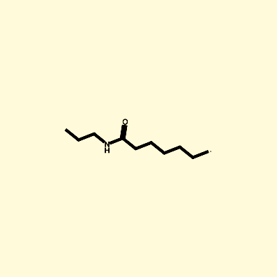 [CH2]CCCCCC(=O)NCCC